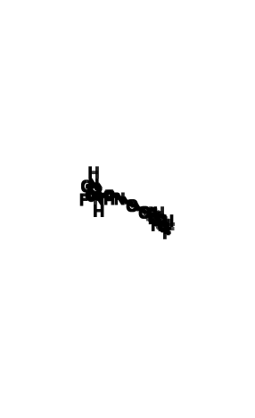 C[C@]12CCC(F)(F)C[C@@H]1CC[C@@H]1[C@@H]2CC[C@]2(C)[C@@H](OCCCOCCCNCc3ccc(-c4[nH]c5cc(F)cc6c5c4CCNC6=O)cc3)CC[C@@H]12